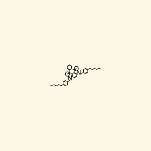 CCCCCCc1ccc(C=Nc2ccc(N=Cc3ccc(CCCCCC)cc3)c3c2C(=O)c2ccccc2C3=O)cc1